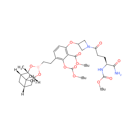 CC(C)(C)OC(=O)N[C@@H](CCC(=O)N1CC(Oc2ccc(CCB3O[C@@H]4C[C@@H]5C[C@@H](C5(C)C)[C@]4(C)O3)c(OC(=O)OC(C)(C)C)c2C(=O)OC(C)(C)C)C1)C(N)=O